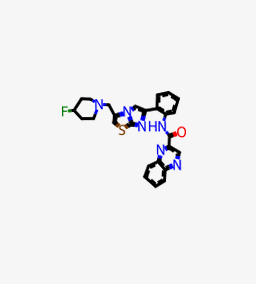 O=C(Nc1ccccc1-c1cn2c(CN3CCC(F)CC3)csc2n1)c1cnc2ccccc2n1